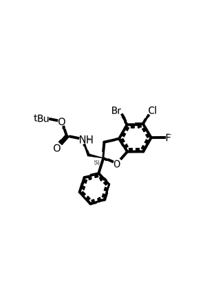 CC(C)(C)OC(=O)NC[C@@]1(c2ccccc2)Cc2c(cc(F)c(Cl)c2Br)O1